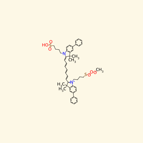 COOOSCCCC[N+]1=C(/C=C/C=C/C=C/C=C2/N(CCCCS(=O)(=O)O)c3ccc(-c4ccccc4)cc3C2(C)C)C(C)(C)c2cc(-c3ccccc3)ccc21